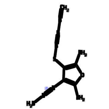 B/B=B\c1c(B)oc(B)c1SB=BB=C